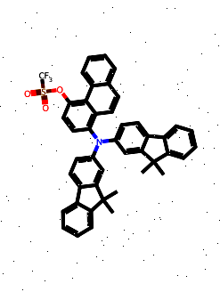 CC1(C)c2ccccc2-c2ccc(N(c3ccc4c(c3)C(C)(C)c3ccccc3-4)c3ccc(OS(=O)(=O)C(F)(F)F)c4c3ccc3ccccc34)cc21